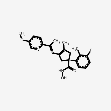 COc1ccc(/C(C)=N/C2=C(C)C[C@@](C(=O)NO)(c3cccc(F)c3C)C2)nc1